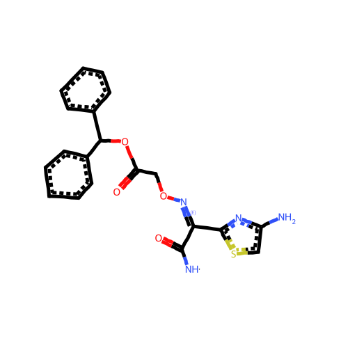 [NH]C(=O)/C(=N\OCC(=O)OC(c1ccccc1)c1ccccc1)c1nc(N)cs1